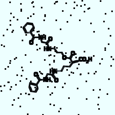 O=C(O)C=C(CCCNC(=O)CNC(=O)c1ccccc1)C(=O)OCCCNC(=O)CNC(=O)c1ccccc1